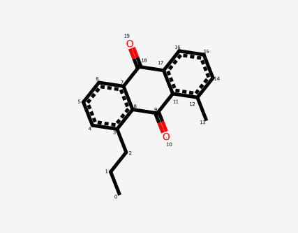 CCCc1cccc2c1C(=O)c1c(C)cccc1C2=O